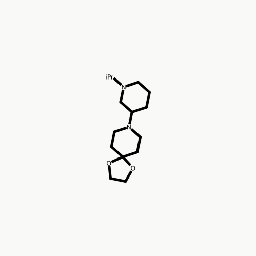 CC(C)N1CCCC(N2CCC3(CC2)OCCO3)C1